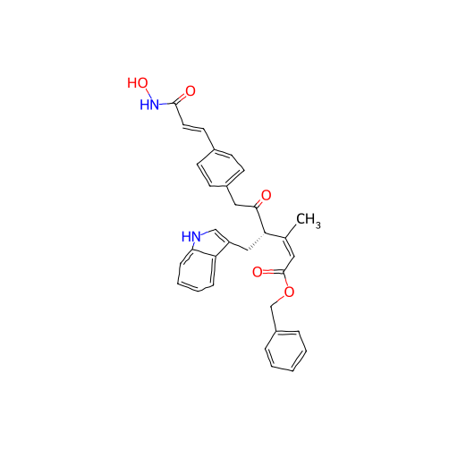 C/C(=C/C(=O)OCc1ccccc1)[C@H](Cc1c[nH]c2ccccc12)C(=O)Cc1ccc(/C=C/C(=O)NO)cc1